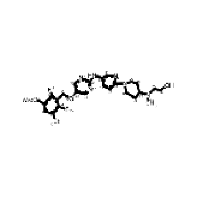 CCc1cc(OC)c(F)c(COc2cnc(Nc3ccc(N4CCC(N(C)CCO)CC4)nc3)nc2)c1F